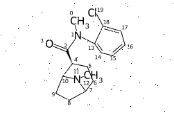 CN(C(=O)[C@H]1CCC2CCC1N2C)c1ccccc1Cl